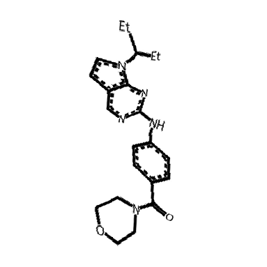 CCC(CC)n1ccc2cnc(Nc3ccc(C(=O)N4CCOCC4)cc3)nc21